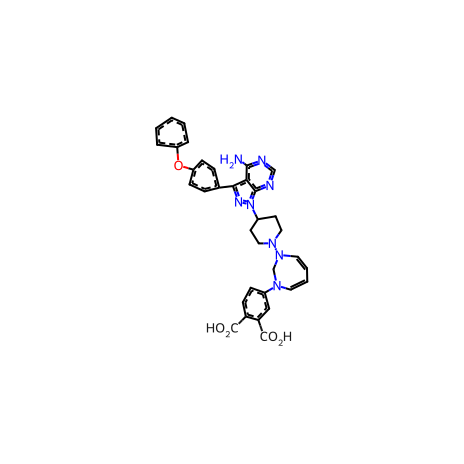 Nc1ncnc2c1c(-c1ccc(Oc3ccccc3)cc1)nn2C1CCN(N2C=CC=CN(c3ccc(C(=O)O)c(C(=O)O)c3)C2)CC1